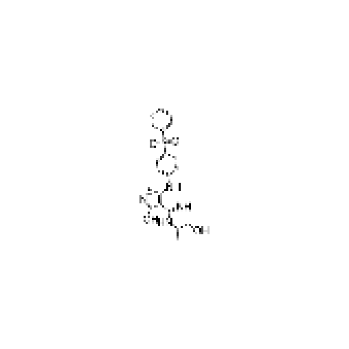 CC(CO)NC(=N)c1c(O)nsc1Nc1ccc(S(=O)(=O)c2ccccc2)cc1